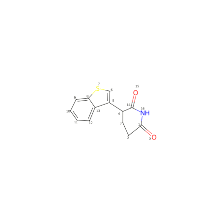 O=C1CCC(c2csc3ccccc23)C(=O)N1